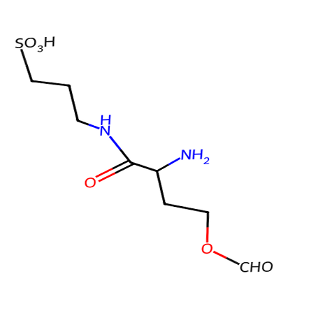 NC(CCOC=O)C(=O)NCCCS(=O)(=O)O